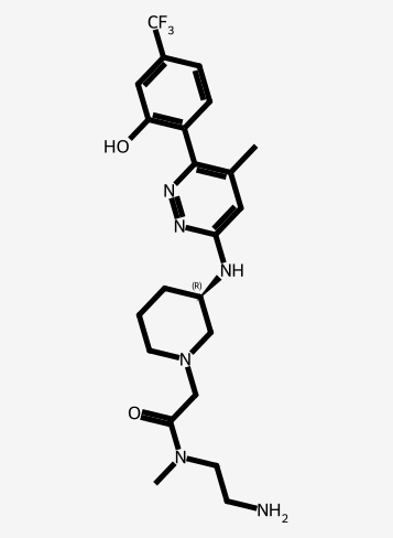 Cc1cc(N[C@@H]2CCCN(CC(=O)N(C)CCN)C2)nnc1-c1ccc(C(F)(F)F)cc1O